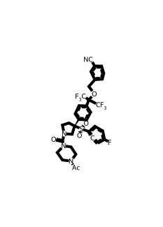 CC(=O)N1CCN(C(=O)N2CC[C@](c3ccc(C(OCc4cccc(C#N)c4)(C(F)(F)F)C(F)(F)F)cc3)(S(=O)(=O)c3ccc(F)cc3)C2)CC1